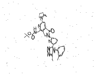 Cc1ccccc1-n1c(C)nnc1-c1cccc(N2Cc3c(cc(N4CCC[C@H]4C)nc3CNC(=O)OC(C)(C)C)C2=O)n1